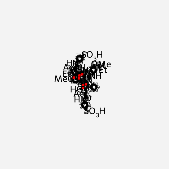 CCN(CC)c1cc(Nc2nc(Nc3cc(N(CC)CC)c(OC)cc3/N=N/c3nc(N4CCCCC4)c(/C=C(\C(C)=O)C(=O)Nc4ccc(S(=O)(=O)O)cc4)s3)nc(SCCO)n2)c(/N=N/c2nc(N3CCCCC3)c(/C=C(/C(C)=O)C(=O)Nc3ccc(S(=O)(=O)O)cc3)s2)cc1OC